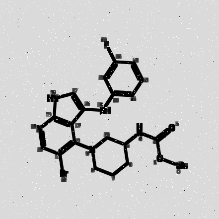 CC(C)(C)OC(=O)NC1CCCN(c2c(Br)cnc3[nH]cc(Nc4cccc(F)c4)c23)C1